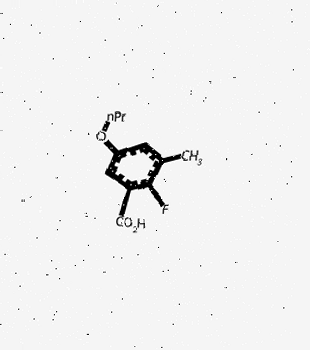 CCCOc1cc(C)c(F)c(C(=O)O)c1